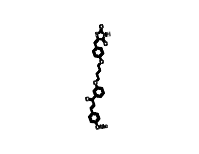 COc1ccc(C=CC(=O)c2cccc(OCCCCOc3ccc(C=C4SC(=O)NC4=O)cc3)c2)cc1